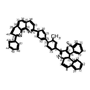 CC1C=C(c2nc3ccc4ccccc4c3c3c2sc2ccccc23)C=CC1c1ccc(-c2ccc3ccc4ccc(-c5ccccc5)nc4c3n2)cc1